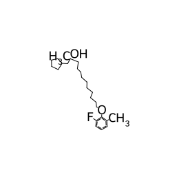 Cc1cccc(F)c1OCCCCCCCCCCC(C)(O)CC1CCCC1